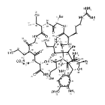 CCC(C)[C@H](NC(=O)[C@@H](CCCNC(=N)N)NC(=O)[C@](C(=O)C(N)CC(C)(C)C)(C(C(=O)[C@@H](N)Cc1ccc(OC)c(N)c1)C(C)C)N(C(=O)[C@H](N)CC(C)(C)C)C(=O)[C@@H](N)[C@H](O)C(C)C)C(=O)N[C@H](C(=O)NCC(=O)N(C(=O)[C@@H](N)[C@H](O)C(N)=O)[C@@H](CO)C(=O)O)[C@H](C)O